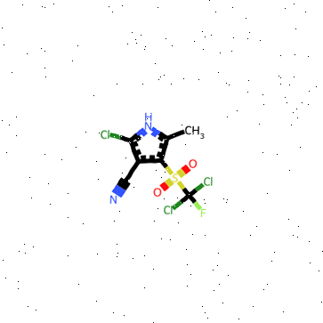 Cc1[nH]c(Cl)c(C#N)c1S(=O)(=O)C(F)(Cl)Cl